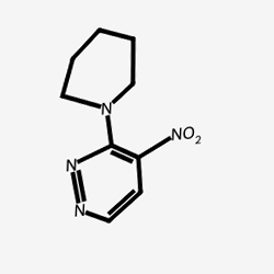 O=[N+]([O-])c1ccnnc1N1CCCCC1